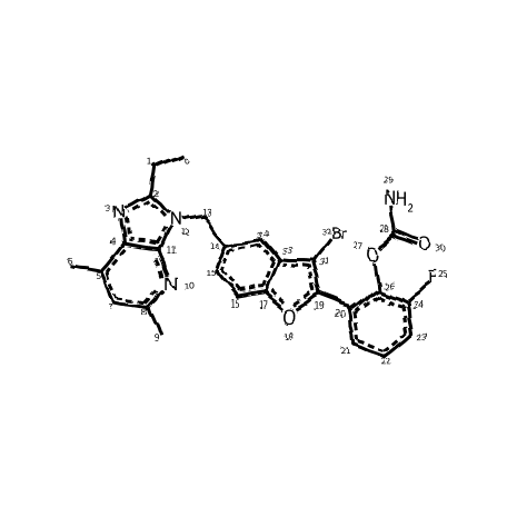 CCc1nc2c(C)cc(C)nc2n1Cc1ccc2oc(-c3cccc(F)c3OC(N)=O)c(Br)c2c1